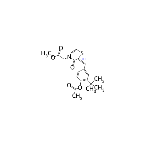 COC(=O)CN1C=CS/C(=C/c2ccc(OC(C)=O)c(C(C)(C)C)c2)C1=O